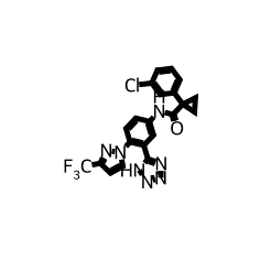 O=C(Nc1ccc(-n2ccc(C(F)(F)F)n2)c(-c2nnn[nH]2)c1)C1(c2cccc(Cl)c2)CC1